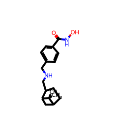 CC1(C)C2CCC(CNCc3ccc(C(=O)NO)cc3)C1C2